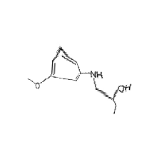 COc1cccc(NCC(C)O)c1